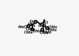 C=C/C(CC)=C(\C=C(/C)CCc1ccc(CC)c(-c2nc(-c3ccc(OC)c(OC)c3)c(-c3ccc(OC)c(OC)c3)[nH]2)c1)c1nc(-c2ccc(OC)c(OC)c2)c(-c2ccc(OC)c(OC)c2)[nH]1